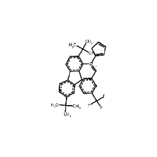 CC(C)(C)c1ccc2c(c1)Cc1c-2ccc(C(C)(C)C)[c]1/[Zr](=[CH]\c1cccc(C(F)(F)F)c1)[C]1=CC=CC1